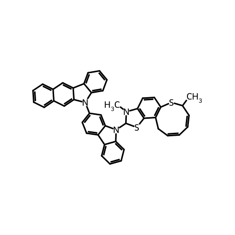 CC1/C=C\C=C/Cc2c(ccc3c2SC(n2c4ccccc4c4ccc(-n5c6ccccc6c6cc7ccccc7cc65)cc42)N3C)S1